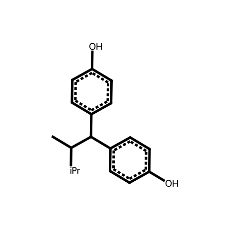 CC(C)C(C)C(c1ccc(O)cc1)c1ccc(O)cc1